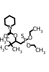 CCOP(=S)(CC(OC(=O)N1CCCCC1)C(C)(C)C)OCC